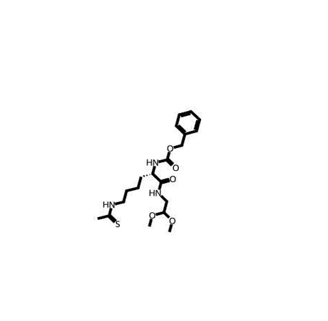 COC(CNC(=O)[C@H](CCCCNC(C)=S)NC(=O)OCc1ccccc1)OC